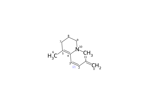 C=C/C=C\C1=C(C)CCCN1C